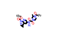 CC(C)C(=O)N1CCN(C(=O)C(=O)Nc2cnc(NC(=O)OC(C)(C)C)c(C3CC3)c2)CC1C